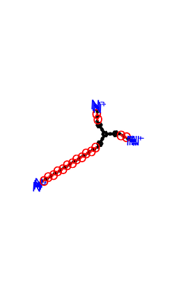 [N-]=[N+]=NCCOCCOCCOCCOCCOCCOCCOCCOCCOCCOCCOCCOCc1ccc(C#Cc2cc(C#Cc3ccc(COCCOCCN=[N+]=[N-])cc3)cc(C#Cc3ccc(COCCOCCN=[N+]=[N-])cc3)c2)cc1